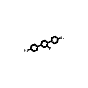 CCc1ccc(-c2ccc(-c3ccc(S)cc3)cc2F)cc1